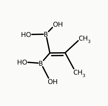 CC(C)=C(B(O)O)B(O)O